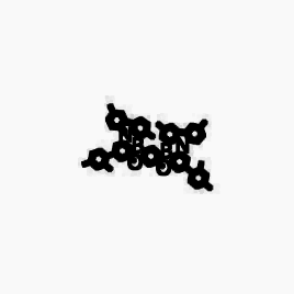 Cc1ccc(-c2cc3c4c(c2)-n2c5ccc(C)cc5c5cc(C)cc(c52)B4c2cc4c(cc2O3)Oc2cc(-c3ccc(C)cc3C)cc3c2B4c2c(C)ccc4c5cc(C)ccc5n-3c24)c(C)c1